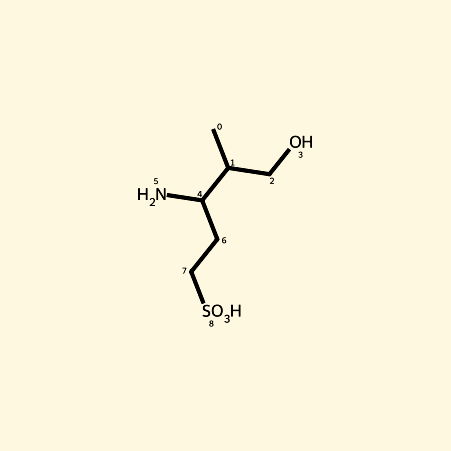 CC(CO)C(N)CCS(=O)(=O)O